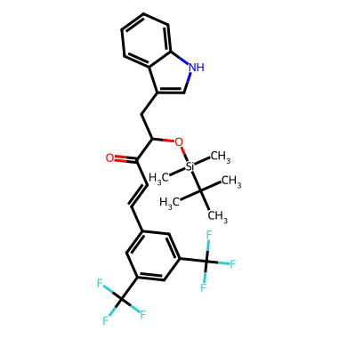 CC(C)(C)[Si](C)(C)OC(Cc1c[nH]c2ccccc12)C(=O)C=Cc1cc(C(F)(F)F)cc(C(F)(F)F)c1